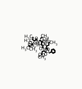 CC[C@H](C)[C@H](NC(=O)OC(C)(C)C)C(=O)N[C@@H](CC(C)C)C(O)CCC(=O)N(C(=O)C(N)CC(C)C)C(CC(=O)OC)C(=O)OCc1ccccc1